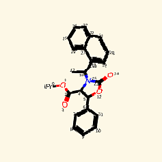 CC(C)OC(=O)C1C(c2ccccc2)OC(=O)N1C(C)c1cccc2ccccc12